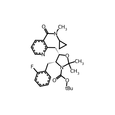 CN(C(=O)c1cccnc1C[C@@H]1OC(C)(C)N(C(=O)OC(C)(C)C)[C@@H]1Cc1ccccc1F)C1CC1